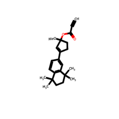 C#CC(=O)OC1(OC)C=C(c2ccc3c(c2)C(C)(C)CCC3(C)C)CC1